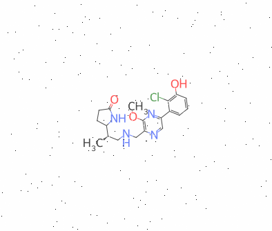 COc1nc(-c2cccc(O)c2Cl)cnc1CNC[C@@H](C)C1CCC(=O)N1